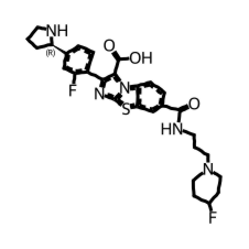 O=C(NCCCN1CCC(F)CC1)c1ccc2c(c1)sc1nc(-c3ccc([C@H]4CCCN4)cc3F)c(C(=O)O)n12